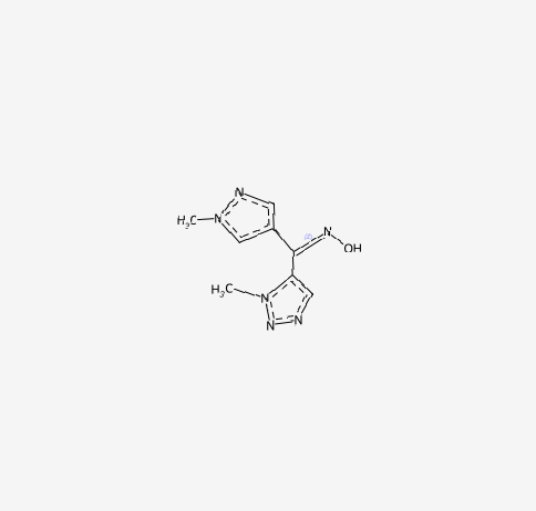 Cn1cc(/C(=N/O)c2cnnn2C)cn1